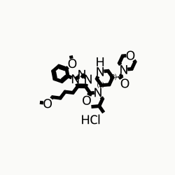 COCCCCc1c(C(=O)N(CC(C)C)[C@@H]2CNC[C@H](C(=O)N3CCOCC3)C2)nnn1-c1ccccc1OC.Cl